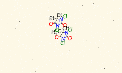 CC1(C)C(=O)N(Cl)C(=O)N1Cl.CCC1(CC)C(=O)N(Cl)C(=O)N1Cl